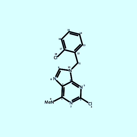 CNc1nc(Cl)nc2c1ncn2Cc1ccccc1Cl